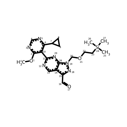 COc1ncnc(C2CC2)c1-c1ncc2c(C=O)nn(COCC[Si](C)(C)C)c2n1